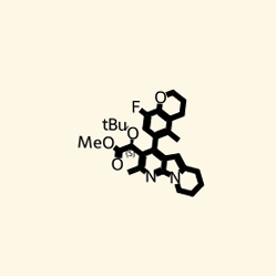 COC(=O)[C@@H](OC(C)(C)C)c1c(C)nc2c(cc3n2CCCC3)c1-c1cc(F)c2c(c1C)CCCO2